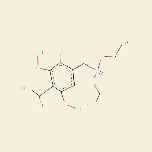 CCOP(=O)(Cc1cc(OC)c(C(C)C)c(OC)c1Cl)OCC